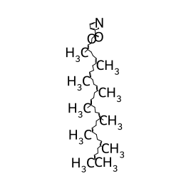 CC(C)=CCCC(C)=CCCC(C)=CCCC(C)=CCCC(C)=CCCC(C)=CCCC(C)=CCCC(C)=CCCC(C)=CCOC(=O)c1cccnc1